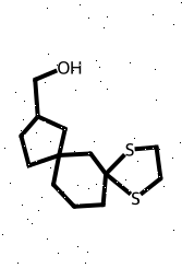 OCC1CCC2(CCCC3(C2)SCCS3)C1